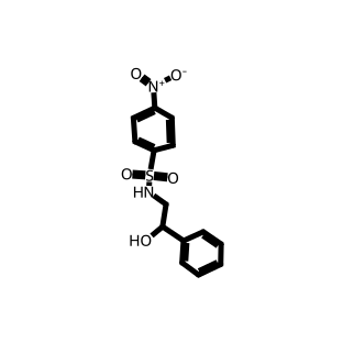 O=[N+]([O-])c1ccc(S(=O)(=O)NCC(O)c2ccccc2)cc1